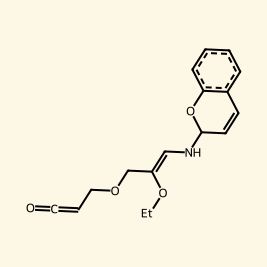 CCOC(=CNC1C=Cc2ccccc2O1)COCC=C=O